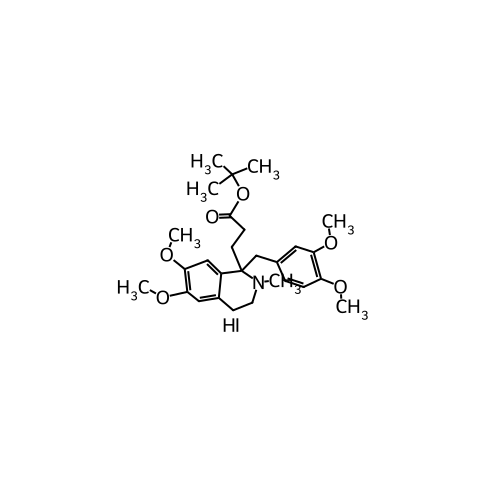 COc1ccc(CC2(CCC(=O)OC(C)(C)C)c3cc(OC)c(OC)cc3CCN2C)cc1OC.I